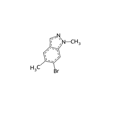 Cc1cc2cnn(C)c2cc1Br